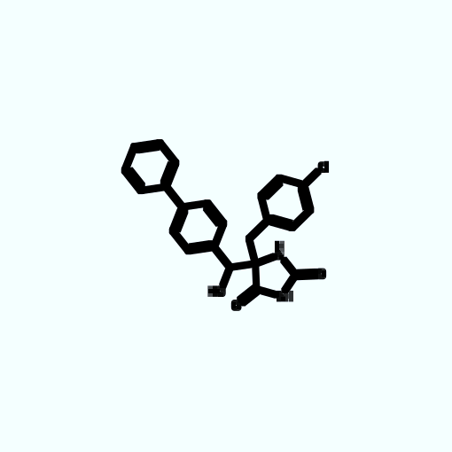 O=C1NC(=O)C(Cc2ccc(Cl)cc2)(C(O)c2ccc(-c3ccccc3)cc2)N1